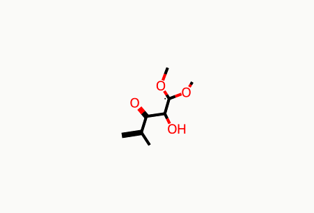 C=C(C)C(=O)C(O)[C](OC)OC